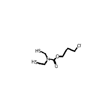 O=C(OCCCCl)N(CS)CS